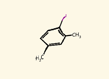 [CH2]c1ccc(I)c(C)c1